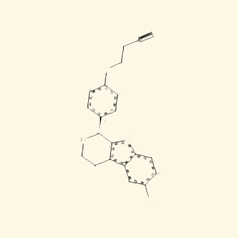 C#CCCOc1ccc([C@@H]2NCCc3c2[nH]c2ccc(Cl)cc32)cc1